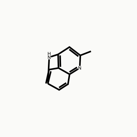 Cc1cc2[nH]c3ccc(n1)c2c3